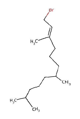 C/C(=C\CBr)CCCC(C)CCCC(C)C